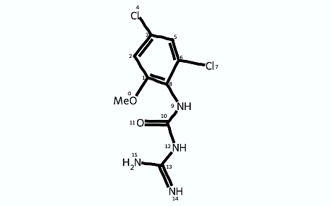 COc1cc(Cl)cc(Cl)c1NC(=O)NC(=N)N